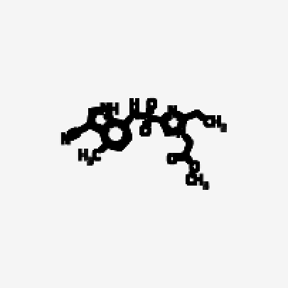 CCc1nc(S(=O)(=O)Nc2ccc(C)c3c(C#N)c[nH]c23)cn1CC(=O)OC